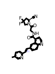 Cc1ccc(/C=C/c2ccc3nccc(C(=O)NCC(=O)N4CC(F)(F)C[C@H]4C#N)c3c2)nc1